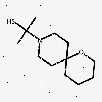 CC(C)(S)N1CCC2(CCCCO2)CC1